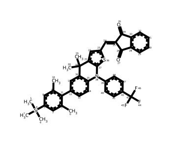 Cc1cc([Si](C)(C)C)cc(C)c1-c1ccc2c(c1)C(C)(C)c1cc(C=C3C(=O)c4ccccc4C3=O)sc1N2c1ccc(C(F)(F)F)cc1